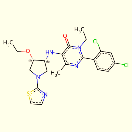 CCO[C@H]1CN(c2nccs2)C[C@H]1Nc1c(C)nc(-c2ccc(Cl)cc2Cl)n(CC)c1=O